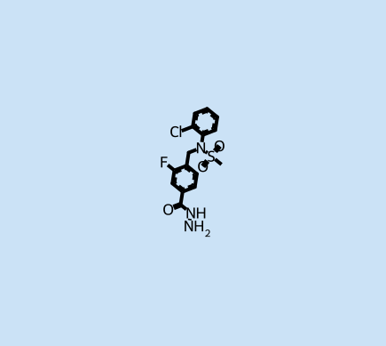 CS(=O)(=O)N(Cc1ccc(C(=O)NN)cc1F)c1ccccc1Cl